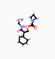 N#CCNC(=O)C(COC(=O)N1CCC1)C1CCCCC1